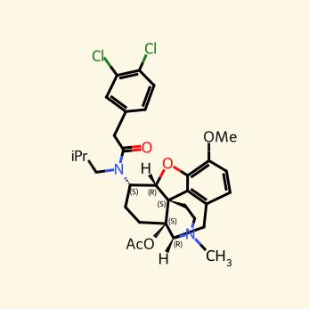 COc1ccc2c3c1O[C@H]1[C@@H](N(CC(C)C)C(=O)Cc4ccc(Cl)c(Cl)c4)CC[C@@]4(OC(C)=O)[C@@H](C2)N(C)CC[C@]314